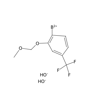 [B+2]c1ccc(C(F)(F)F)cc1OCOC.[OH-].[OH-]